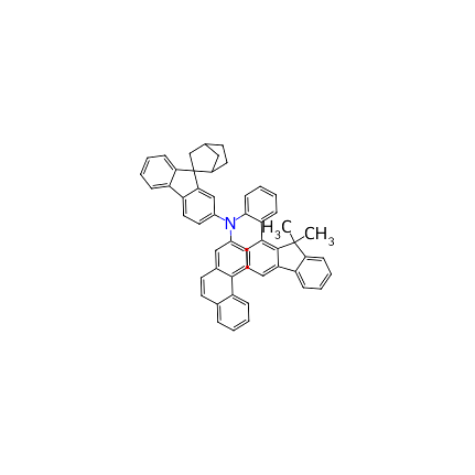 CC1(C)c2ccccc2-c2cccc(-c3ccccc3N(c3ccc4c(c3)C3(CC5CCC3C5)c3ccccc3-4)c3ccc4c(ccc5ccccc54)c3)c21